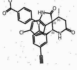 C#Cc1ccc(Oc2ccc(C(=O)OC)cc2)c([C@@H]2NC(=O)C[C@@H](I)[C@]23C(=O)Nc2cc(Cl)ccc23)c1